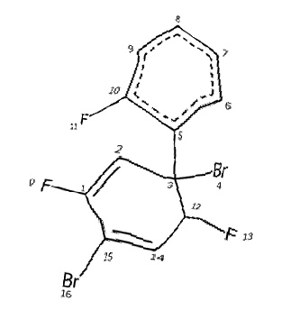 FC1=CC(Br)(c2ccccc2F)C(F)C=C1Br